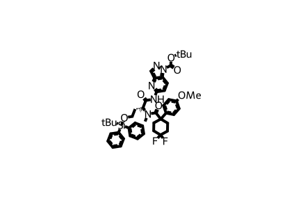 COc1ccc(C2(C(=O)N(C)[C@H](CCO[Si](c3ccccc3)(c3ccccc3)C(C)(C)C)C(=O)Nc3ccc4c(cnn4C(=O)OC(C)(C)C)n3)CCC(F)(F)CC2)cc1